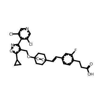 O=C(O)CCc1ccc(/C=C/C23CCC(OCc4c(-c5c(Cl)cncc5Cl)noc4C4CC4)(CC2)CC3)cc1F